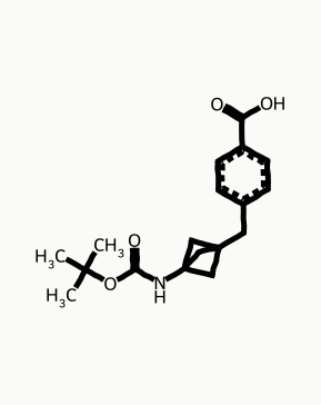 CC(C)(C)OC(=O)NC12CC(Cc3ccc(C(=O)O)cc3)(C1)C2